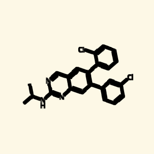 CC(C)Nc1ncc2cc(-c3ccccc3Cl)c(-c3cccc(Cl)c3)cc2n1